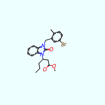 CCCC(CC(=O)OC)n1c(=O)n(Cc2cc(Br)ccc2C)c2ccccc21